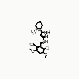 COc1cc(OC)c(Cl)c(CNc2cc([C@@H]3CCCC[C@H]3N)[nH]n2)c1Cl